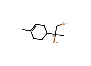 CC1=CCC([C@@](C)(S)CS)CC1